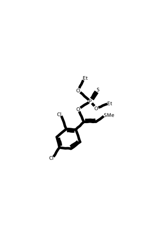 CCOP(=S)(OCC)OC(=CSC)c1ccc(Cl)cc1Cl